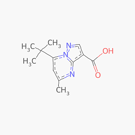 Cc1cc(C(C)(C)C)n2ncc(C(=O)O)c2n1